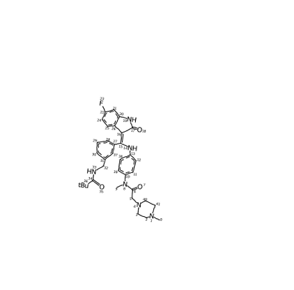 CN1CCN(CC(=O)N(C)c2ccc(N/C(=C3\C(=O)Nc4cc(F)ccc43)c3cccc(CNC(=O)C(C)(C)C)c3)cc2)CC1